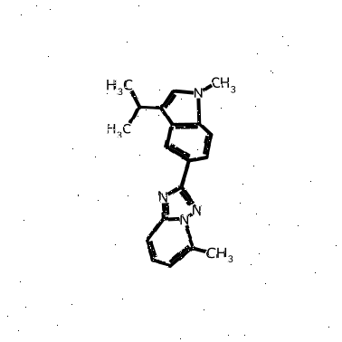 Cc1cccc2nc(-c3ccc4c(c3)c(C(C)C)cn4C)nn12